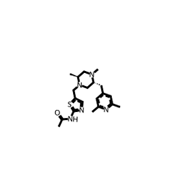 CC(=O)Nc1ncc(CN2C[C@@H](Cc3cc(C)nc(C)c3)N(C)C[C@@H]2C)s1